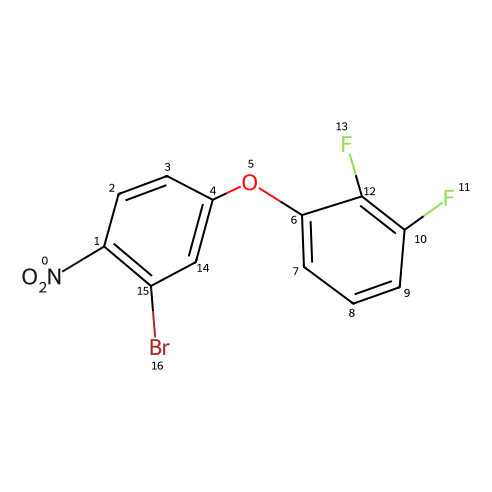 O=[N+]([O-])c1ccc(Oc2cccc(F)c2F)cc1Br